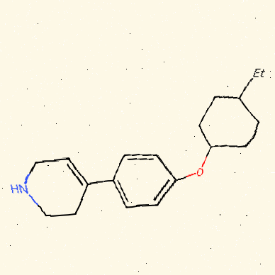 CCC1CCC(Oc2ccc(C3=CCNCC3)cc2)CC1